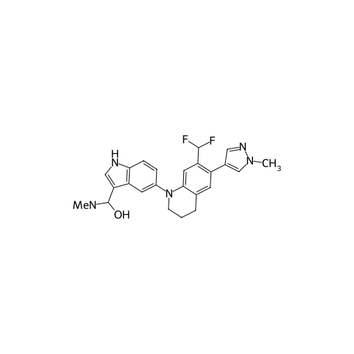 CNC(O)c1c[nH]c2ccc(N3CCCc4cc(-c5cnn(C)c5)c(C(F)F)cc43)cc12